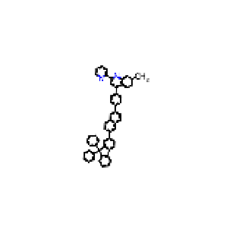 CC1C=c2nc(-c3ccccn3)cc(-c3ccc(-c4ccc5cc(-c6ccc7c(c6)C(c6ccccc6)(c6ccccc6)c6ccccc6-7)ccc5c4)cc3)c2=CC1